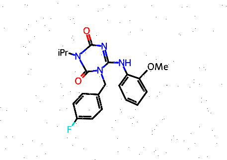 COc1ccccc1Nc1nc(=O)n(C(C)C)c(=O)n1Cc1ccc(F)cc1